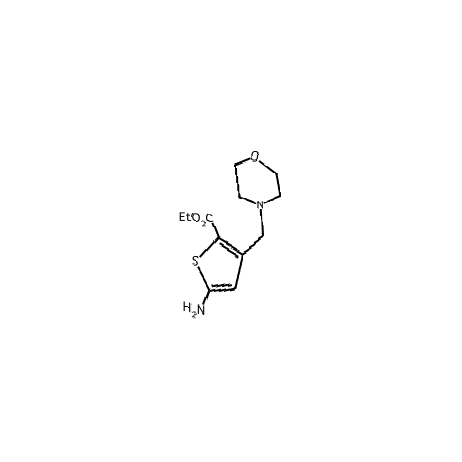 CCOC(=O)c1sc(N)cc1CN1CCOCC1